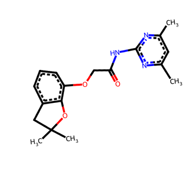 Cc1cc(C)nc(NC(=O)COc2cccc3c2OC(C)(C)C3)n1